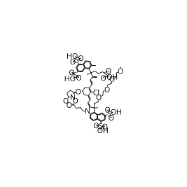 C=C(/C=C/C1=C(Cl)C(=C/C=C2/N(CCCC(=O)ON3C(=O)CCC3=O)c3ccc4c(S(=O)(=O)O)cc(S(=O)(=O)O)cc4c3C2(C)CCOCCOCCOCCOC)/CCC1)C(C)(CCCS(=O)(=O)O)c1c(C)ccc2c(S(=O)(=O)O)cc(S(=O)(=O)O)cc12